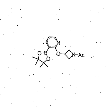 CC(=O)N1CC(Oc2ncccc2B2OC(C)(C)C(C)(C)O2)C1